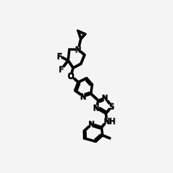 Cc1cccnc1Nc1nc(-c2ccc(OC3CCN(C4CC4)CC3(F)F)cn2)ns1